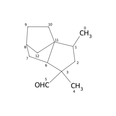 CC1CC(C)(C=O)C2CC3CCC12C3